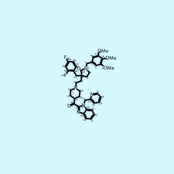 COc1cc(CN2CCC(CCN3CCC(C(=O)c4nc5ccccc5n4Cc4ccccn4)CC3)(Cc3ccc(F)cc3F)C2=O)cc(OC)c1OC